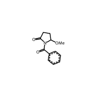 COC1CCC(=O)N1C(=O)c1ccccc1